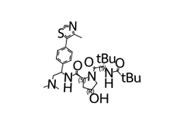 Cc1ncsc1-c1ccc(C(CN(C)C)NC(=O)[C@@H]2C[C@@H](O)CN2C(=O)[C@@H](NC(=O)C(C)(C)C)C(C)(C)C)cc1